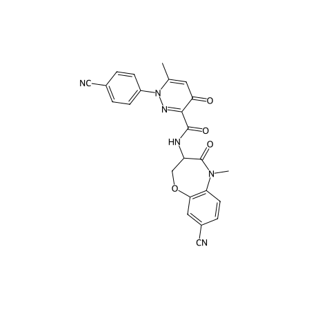 Cc1cc(=O)c(C(=O)NC2COc3cc(C#N)ccc3N(C)C2=O)nn1-c1ccc(C#N)cc1